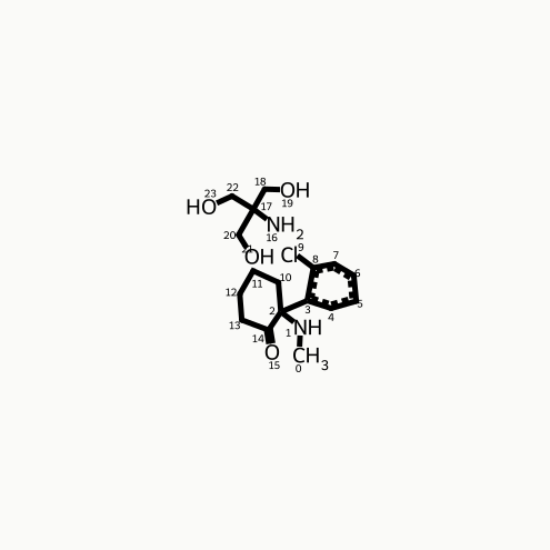 CNC1(c2ccccc2Cl)CCCCC1=O.NC(CO)(CO)CO